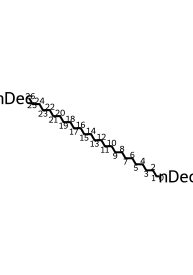 [CH2]CCCCCCCCCCCCCCCCCCCCCCCCCCCCCCCCCCCCCCCCCCCC